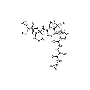 CN(C1CC1)S(=O)(=O)CC1(NC(=O)N[C@H](C(=O)N2CCC[C@H]2C(=O)NCC(=O)C(=O)NC2CC2)C(C)(C)C)CCCCC1